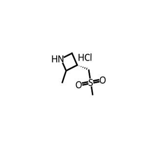 CC1NC[C@@H]1CS(C)(=O)=O.Cl